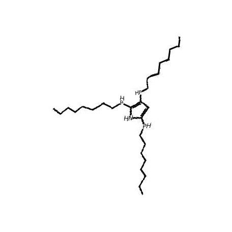 CCCCCCCCPc1cc(PCCCCCCCC)c(PCCCCCCCC)[nH]1